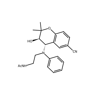 CC(=O)NCCN(c1ccccc1)[C@H]1c2cc(C#N)ccc2OC(C)(C)[C@@H]1O